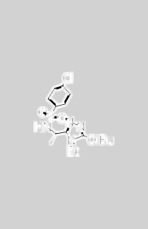 CCn1c(OCC(C)C)nnc1[C@@H](C)NS(=O)(=O)c1ccc(Cl)cc1